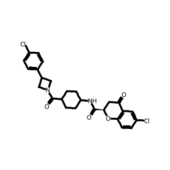 O=C1C[C@H](C(=O)NC2CCC(C(=O)N3CC(c4ccc(Cl)cc4)C3)CC2)Oc2ccc(Cl)cc21